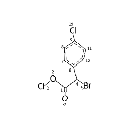 O=C(OCl)C(Br)c1ccc(Cl)cc1